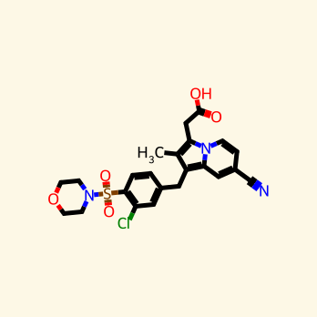 Cc1c(Cc2ccc(S(=O)(=O)N3CCOCC3)c(Cl)c2)c2cc(C#N)ccn2c1CC(=O)O